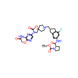 CC(C)(C)OC(=O)N1CCCC1C(=O)Nc1cc(F)c2c(c1)CC(CN1CCC3(CC1)CN(c1cnc4c(n1)NC(=O)CO4)C(=O)O3)C2